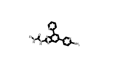 CCNC(=O)Nc1nc2cc(-c3ccc(N)nc3)cc(-c3ccccn3)c2s1